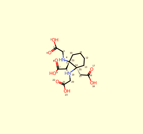 O=C(O)CN[C@]1(CC(=O)O)CCCC[C@@]1(CC(=O)O)NCC(=O)O